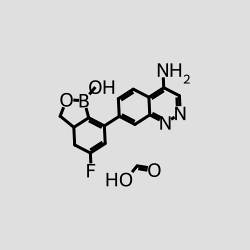 Nc1cnnc2cc(C3=C4B(O)OCC4CC(F)=C3)ccc12.O=CO